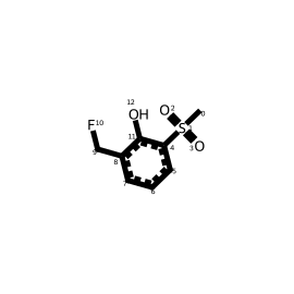 CS(=O)(=O)c1cccc(CF)c1O